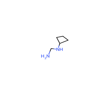 NCNC1CCC1